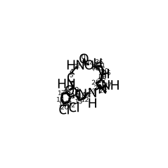 O=C1NCCCNC(=O)c2nc(ccc2-c2cccc(Cl)c2Cl)Nc2cc([nH]n2)[C@H]2CC[C@H](C2)O1